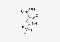 O=C(O)C1CC(C(F)(F)F)NC1=O